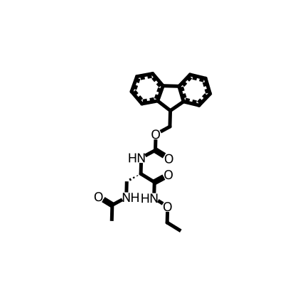 CCONC(=O)[C@H](CNC(C)=O)NC(=O)OCC1c2ccccc2-c2ccccc21